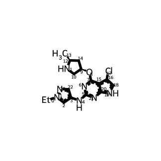 CCn1cc(Nc2nc(O[C@H]3CN[C@@H](C)C3)c3c(Cl)c[nH]c3n2)cn1